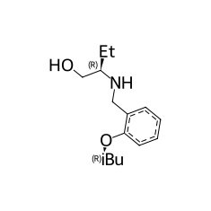 CC[C@H](CO)NCc1ccccc1O[C@H](C)CC